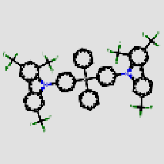 FC(F)(F)c1cc(C(F)(F)F)c2c(c1)c1ccc(C(F)(F)F)cc1n2-c1ccc([Si](c2ccccc2)(c2ccccc2)c2ccc(-n3c4cc(C(F)(F)F)ccc4c4cc(C(F)(F)F)cc(C(F)(F)F)c43)cc2)cc1